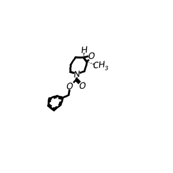 C[C@]12CN(C(=O)OCc3ccccc3)CCC[C@H]1O2